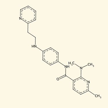 Cc1ccc(C(=O)Nc2ccc(NCCc3ccccn3)cc2)c(N(C)C)n1